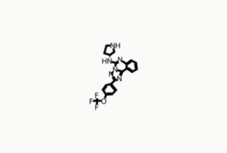 FC(F)(F)Oc1ccc(-c2nc3c4ccccc4nc(N[C@@H]4CCNC4)n3n2)cc1